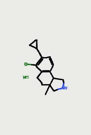 CC12CCc3c(ccc(C4CC4)c3Cl)C1CNC2.Cl